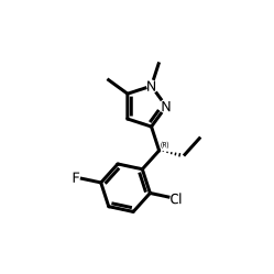 CC[C@@H](c1cc(C)n(C)n1)c1cc(F)ccc1Cl